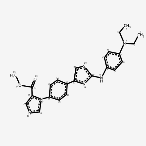 CCN(CC)c1ccc(Nc2nc(-c3ccc(-n4cncc4C(=O)OC)cc3)cs2)cc1